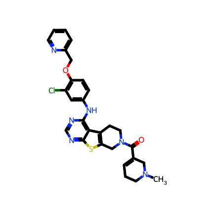 CN1CCC=C(C(=O)N2CCc3c(sc4ncnc(Nc5ccc(OCc6ccccn6)c(Cl)c5)c34)C2)C1